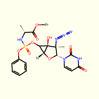 CC(C)OC(=O)[C@@H](C)NP(=O)(Oc1ccccc1)OC1[C@H]2O[C@@H](n3ccc(=O)[nH]c3=O)[C@](C)(N=[N+]=[N-])[C@@]12O